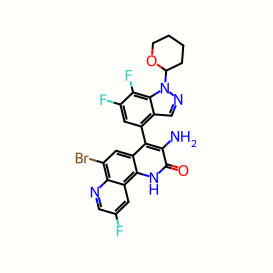 Nc1c(-c2cc(F)c(F)c3c2cnn3C2CCCCO2)c2cc(Br)c3ncc(F)cc3c2[nH]c1=O